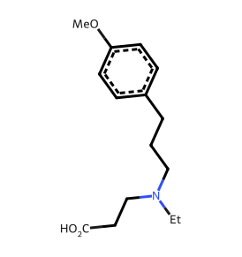 CCN(CCCc1ccc(OC)cc1)CCC(=O)O